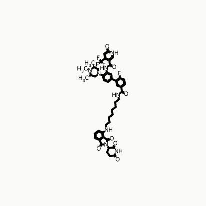 C[C@@H]1CN(c2ccc(-c3cc(C(=O)NCCCCCCCCNc4cccc5c4C(=O)N(C4CCC(=O)NC4=O)C5=O)ccc3F)cc2NC(=O)c2c[nH]c(=O)cc2C(F)(F)F)C[C@H](C)N1C